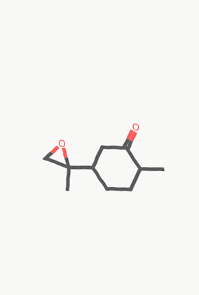 CC1CCC(C2(C)CO2)CC1=O